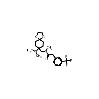 CN(CC1(N(C)C)CCC2(CC1)OCCO2)C(=O)Cc1cccc(C(F)(F)F)c1